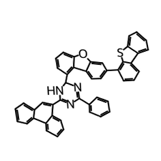 c1ccc(C2=NC(c3cccc4oc5cc(-c6cccc7c6sc6ccccc67)ccc5c34)NC(c3cc4ccccc4c4ccccc34)=N2)cc1